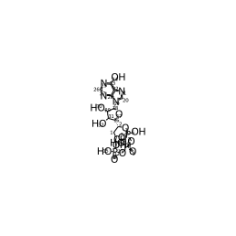 CCC(OP(=O)(O)OP(=O)(O)OP(=O)(O)O)[C@H]1O[C@@H](n2cnc3c(O)ncnc32)[C@H](O)[C@@H]1O